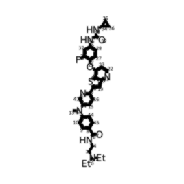 CCN(CC)CCNC(=O)c1ccc(N(C)c2ccc(-c3cc4nccc(Oc5ccc(NC(=O)NC6CC6)cc5F)c4s3)nc2)cc1